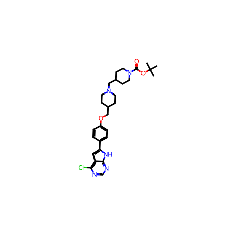 CC(C)(C)OC(=O)N1CCC(CN2CCC(COc3ccc(-c4cc5c(Cl)ncnc5[nH]4)cc3)CC2)CC1